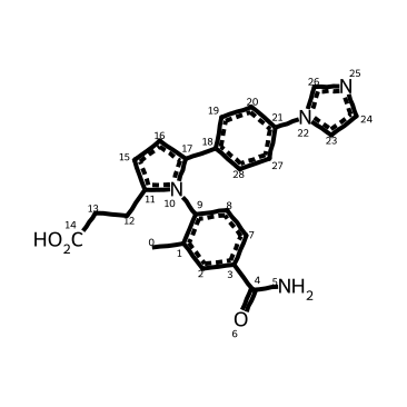 Cc1cc(C(N)=O)ccc1-n1c(CCC(=O)O)ccc1-c1ccc(-n2ccnc2)cc1